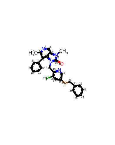 Cc1ncc2c(c1-c1ccccc1)n(Cc1ncc(SCc3ccccc3)cc1F)c(=O)n2C